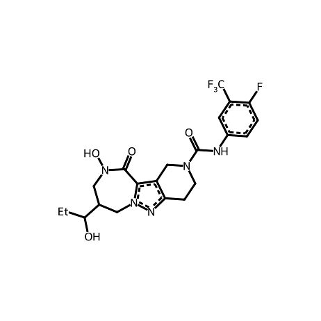 CCC(O)C1CN(O)C(=O)c2c3c(nn2C1)CCN(C(=O)Nc1ccc(F)c(C(F)(F)F)c1)C3